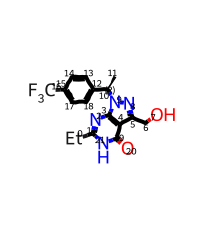 CCc1nc2c(c(CO)nn2[C@H](C)c2ccc(C(F)(F)F)cc2)c(=O)[nH]1